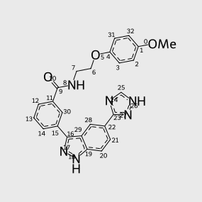 COc1ccc(OCCNC(=O)c2cccc(-c3n[nH]c4ccc(-c5nc[nH]n5)cc34)c2)cc1